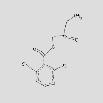 CCC(=O)COC(=O)c1c(Cl)cccc1Cl